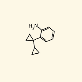 Nc1ccccc1C1(C2CC2)CC1